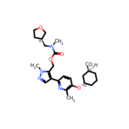 Cc1nc(-c2cnn(C)c2COC(=O)N(C)C[C@H]2CCOC2)ccc1O[C@H]1CCC[C@H](C(=O)O)C1